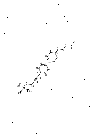 CCCCC[C@H]1CC[C@H](c2ccc(C#CCCC(F)(F)F)cc2)CC1